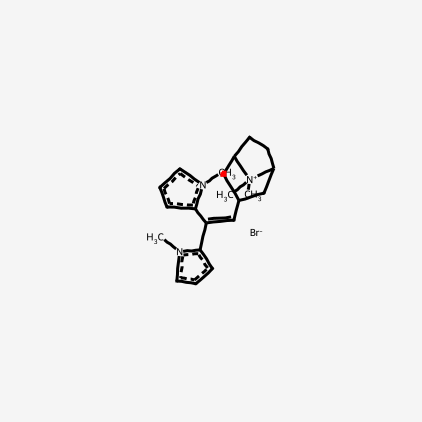 Cn1cccc1C(=CC1CC2CCC(C1)[N+]2(C)C)c1cccn1C.[Br-]